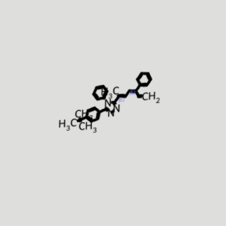 C=C/C(=C\C=C(/C)c1nnc(-c2ccc(C(C)(C)C)cc2)n1-c1ccccc1)c1ccccc1